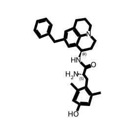 Cc1cc(O)cc(C)c1C[C@H](N)C(=O)N[C@@H]1CCN2CCCc3cc(Cc4ccccc4)cc1c32